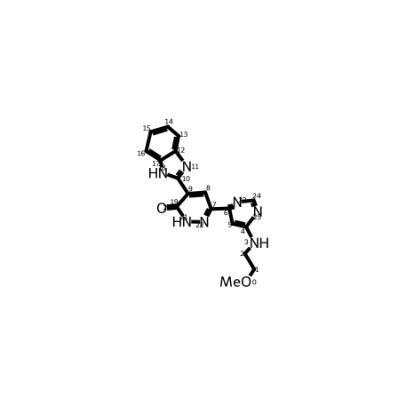 COCCNc1cc(-c2cc(-c3nc4ccccc4[nH]3)c(=O)[nH]n2)ncn1